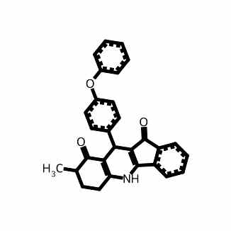 CC1CCC2=C(C1=O)C(c1ccc(Oc3ccccc3)cc1)C1=C(N2)c2ccccc2C1=O